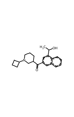 CC(O)c1cc(C(=O)C2CCCN(C3CCC3)C2)cc2ccccc12